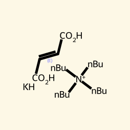 CCCC[N+](CCCC)(CCCC)CCCC.O=C(O)/C=C/C(=O)O.[KH]